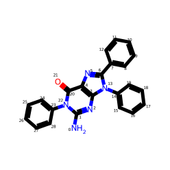 Nc1nc2c(nc(-c3ccccc3)n2-c2ccccc2)c(=O)n1-c1ccccc1